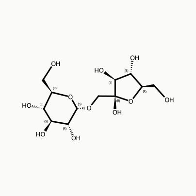 OC[C@H]1O[C@](O)(CO[C@H]2O[C@H](CO)[C@@H](O)[C@H](O)[C@H]2O)[C@@H](O)[C@@H]1O